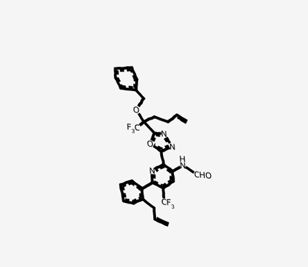 C=CCCC(OCc1ccccc1)(c1nnc(-c2nc(-c3ccccc3CC=C)c(C(F)(F)F)cc2NC=O)o1)C(F)(F)F